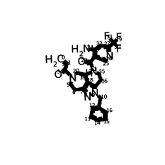 C=CC(=O)N1CCc2nn(Cc3ccccc3)c3c2[C@@H](C1)N(C(=O)c1cnc(C(F)(F)F)cc1N)CC3